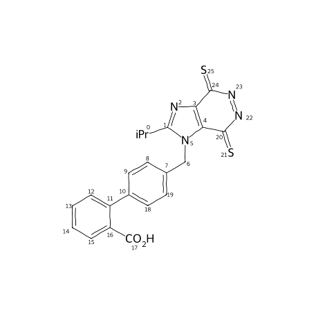 CC(C)c1nc2c(n1Cc1ccc(-c3ccccc3C(=O)O)cc1)C(=S)N=NC2=S